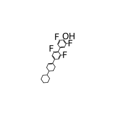 Oc1c(F)cc(-c2c(F)cc(C3=CCC(C4CCCCC4)CC3)cc2F)cc1F